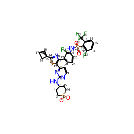 O=S1(=O)CCC(Nc2nccc(-c3sc(C45CC(C4)C5)nc3-c3cccc(NS(=O)(=O)c4c(F)cccc4C(F)(F)F)c3F)n2)CC1